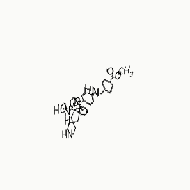 COC(=O)c1ccc(CNc2ccc(S(=O)(=O)C3(C(=O)NO)CCC4(CCNCC4)C3)cc2)cc1